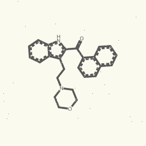 O=C(c1[nH]c2ccccc2c1CCN1CCOCC1)c1cccc2ccccc12